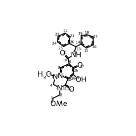 COCCN1CN(C)n2cc(C(=O)NC(c3ccccc3)c3ccccc3)c(=O)c(O)c2C1=O